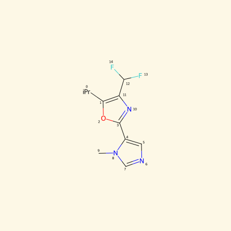 CC(C)c1oc(-c2cncn2C)nc1C(F)F